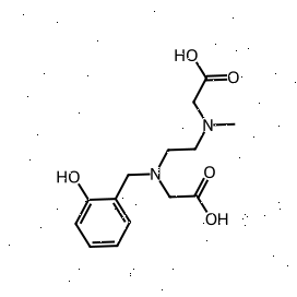 CN(CCN(CC(=O)O)Cc1ccccc1O)CC(=O)O